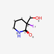 O=C1NCCCC1(I)CO